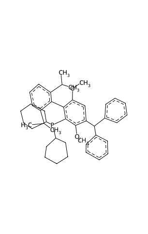 COc1cc(C(c2ccccc2)c2ccccc2)c(OC)c(P(C2CCCCC2)C2CCCCC2)c1-c1c(C(C)C)cccc1C(C)C